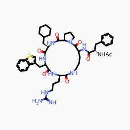 CC(=O)N[C@@H](Cc1ccccc1)C(=O)NC1CCCNC(=O)C(CCCNC(=N)N)NC(=O)C(Cc2csc3ccccc23)NC(=O)[C@@H](CC2CCCCC2)NC(=O)C2CCCN2C1=O